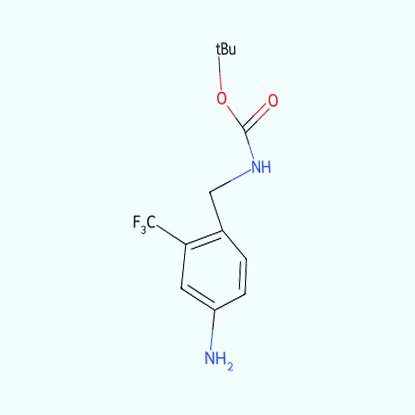 CC(C)(C)OC(=O)NCc1ccc(N)cc1C(F)(F)F